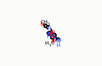 COc1ccc(CN2C3CC2CN(C2(OCCN4CC5CC(OC)CC5C4)C=CC(c4cn[nH]c4)=CN2)C3)cn1